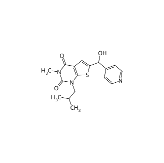 CC(C)Cn1c(=O)n(C)c(=O)c2cc(C(O)c3ccncc3)sc21